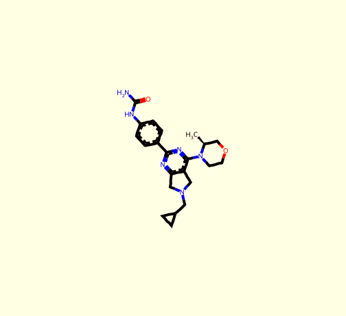 C[C@H]1COCCN1c1nc(-c2ccc(NC(N)=O)cc2)nc2c1CN(CC1CC1)C2